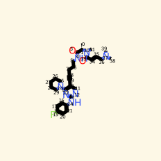 C[C@@H](C(=O)NCCCC#Cc1cnc(Nc2ccc(F)cc2)nc1N1CCCCC1)N(C)C(=O)/C=C/CN(C)C